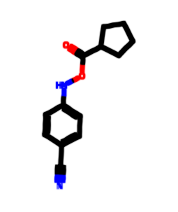 N#Cc1ccc(NOC(=O)C2CCCC2)cc1